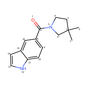 CC1(C)CCN(C(=O)c2ccc3[nH]ccc3c2)C1